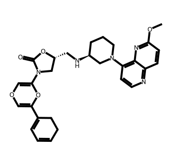 COc1ccc2nccc(N3CCC[C@H](NC[C@@H]4CN(C5=COC=C(C6=CC=CCC6)O5)C(=O)O4)C3)c2n1